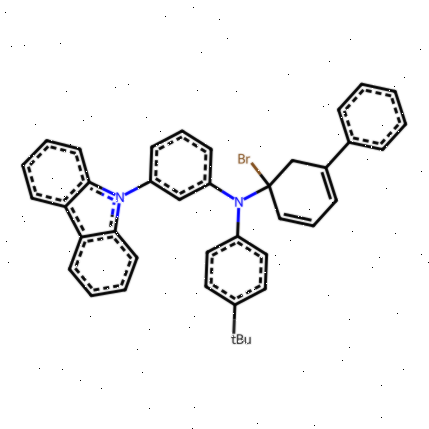 CC(C)(C)c1ccc(N(c2cccc(-n3c4ccccc4c4ccccc43)c2)C2(Br)C=CC=C(c3ccccc3)C2)cc1